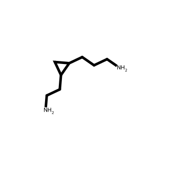 NCCCC1CC1CCN